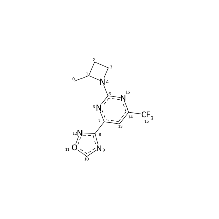 CC1CCN1c1nc(-c2ncon2)cc(C(F)(F)F)n1